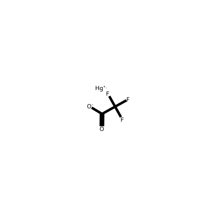 O=C([O-])C(F)(F)F.[Hg+]